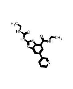 CCNC(=O)Nc1nc2cc(-c3cccnc3)cc(C(=O)NCC)c2s1